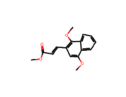 COC(=O)/C=C/c1cc(OC)c2ccccc2c1OC